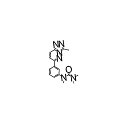 Cc1nnc2ccc(-c3cccc(N(C)C(=O)N(C)C)c3)nn12